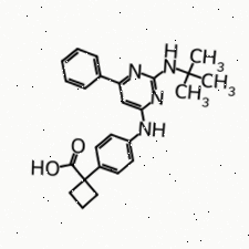 CC(C)(C)Nc1nc(Nc2ccc(C3(C(=O)O)CCC3)cc2)cc(-c2ccccc2)n1